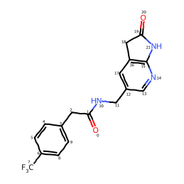 O=C(Cc1ccc(C(F)(F)F)cc1)NCc1cnc2c(c1)CC(=O)N2